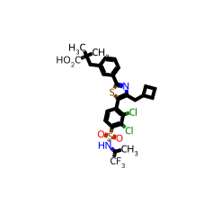 CC(NS(=O)(=O)c1ccc(-c2sc(-c3cccc(CC(C)(C)C(=O)O)c3)nc2CC2CCC2)c(Cl)c1Cl)C(F)(F)F